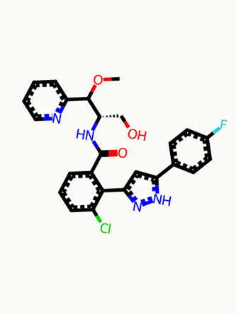 COC(c1ccccn1)[C@H](CO)NC(=O)c1cccc(Cl)c1-c1cc(-c2ccc(F)cc2)[nH]n1